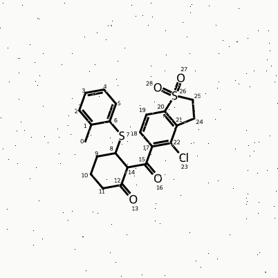 Cc1ccccc1SC1CCCC(=O)C1C(=O)c1ccc2c(c1Cl)CCS2(=O)=O